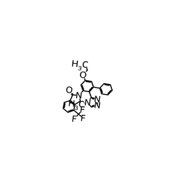 CCOc1cc(-c2ccccc2)c(-c2nncn2C)c(N2Cc3c(cccc3C(F)(F)F)C2=O)c1